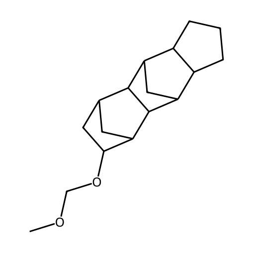 COCOC1CC2CC1C1C3CC(C4CCCC43)C21